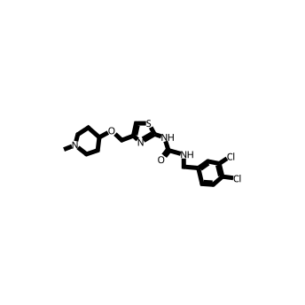 CN1CCC(OCc2csc(NC(=O)NCc3ccc(Cl)c(Cl)c3)n2)CC1